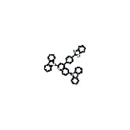 c1ccc2oc(-c3ccc(-c4cc(-n5c6ccccc6c6ccccc65)nc5ccc(-n6c7ccccc7c7ccccc76)cc45)cc3)nc2c1